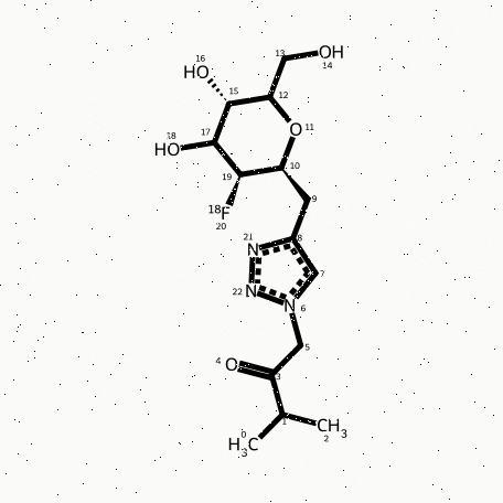 CC(C)C(=O)Cn1cc(C[C@@H]2OC(CO)[C@@H](O)C(O)[C@@H]2[18F])nn1